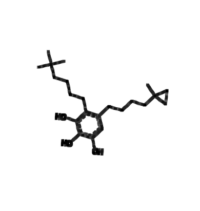 CC(C)(C)CCCCc1c(CCCCC2(C)CC2)cc(O)c(O)c1O